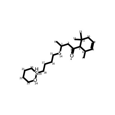 CC(CC(=O)C1C(C)C=CCC1(C)C)SCCCC[SiH]1CCCCO1